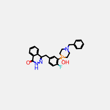 O=c1[nH]nc(Cc2ccc(F)c([P]3(O)CCN(Cc4ccccc4)CC3)c2)c2ccccc12